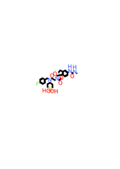 CNC(=O)Nc1ccc2c(c1)CC[C@@]21OC(=O)N(CC(=O)N(Cc2ccc(F)cc2)C2CCS(O)(O)CC2)C1=O